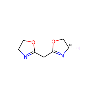 I[C@H]1COC(CC2=NCCO2)=N1